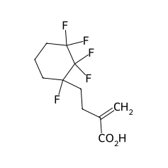 C=C(CCC1(F)CCCC(F)(F)C1(F)F)C(=O)O